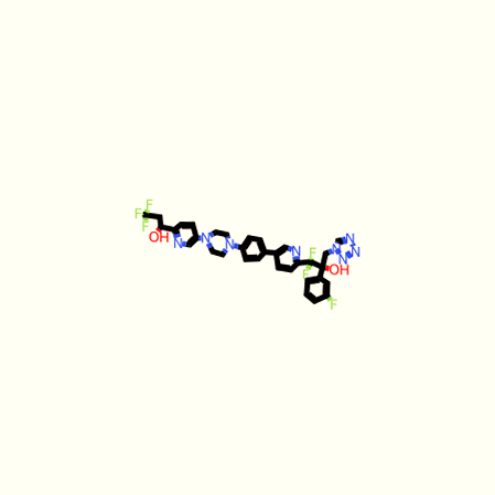 OC(CC(F)(F)F)c1ccc(N2CCN(c3ccc(-c4ccc(C(F)(F)C(O)(Cn5cnnn5)c5cccc(F)c5)nc4)cc3)CC2)cn1